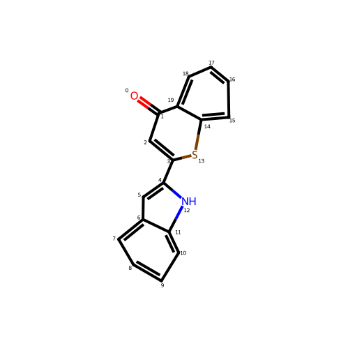 O=c1cc(-c2cc3ccccc3[nH]2)sc2ccccc12